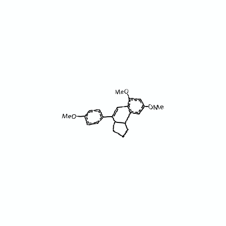 COc1ccc(C2=Cc3c(OC)cc(OC)cc3C3CCCC23)cc1